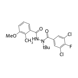 COc1cccc(C(=O)NN(C(=O)c2cc(Cl)c(F)c(Cl)c2)C(C)(C)C)c1C